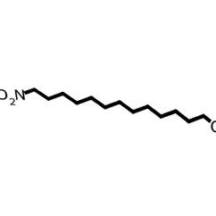 O=[N+]([O-])CCCCCCCCCCCCCO